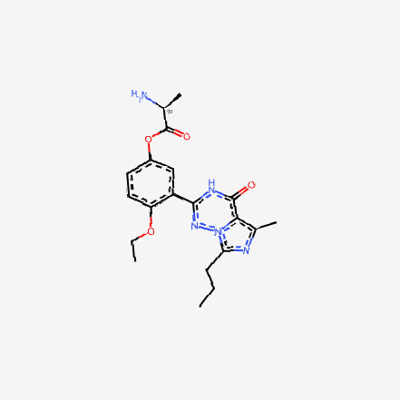 CCCc1nc(C)c2c(=O)[nH]c(-c3cc(OC(=O)[C@H](C)N)ccc3OCC)nn12